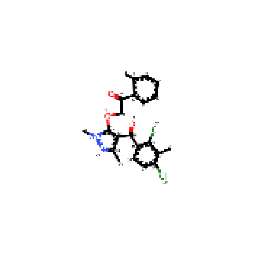 Cc1ccccc1C(=O)COc1c(C(=O)c2ccc(Cl)c(C)c2Cl)c(C)nn1C